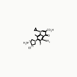 CC[C@H]1CN(c2c(F)c(N)c3c(=O)c(C(=O)O)cn(C4CC4)c3c2C)C[C@H]1N